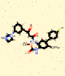 COc1cc(NC(=O)OC(C)(C)C)c(NC(=O)CC(=O)c2cccc(-n3ccnc3)c2)cc1-c1ccc(F)cc1